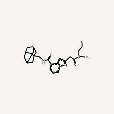 CN(CCF)C(=O)Cc1cc2c(C(=O)NCC34CC5CC(CC(C5)C3)C4)cccn2n1